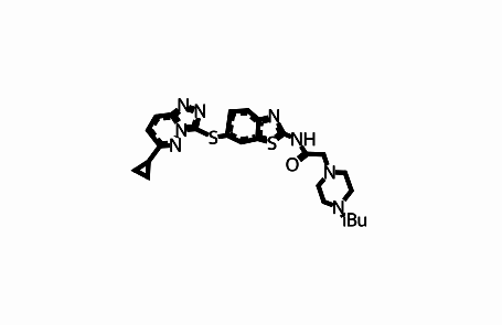 CCC(C)N1CCN(CC(=O)Nc2nc3ccc(Sc4nnc5ccc(C6CC6)nn45)cc3s2)CC1